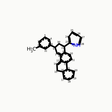 Cc1cccc(C2C=c3c(ccc4c3=CCc3ccccc3-4)C(C3=CC=CC=CN3)C2)c1